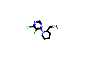 C=CC1CCCCN1c1ncnc(Cl)c1F